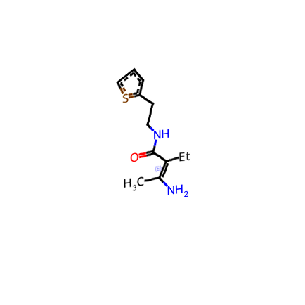 CC/C(C(=O)NCCc1cccs1)=C(/C)N